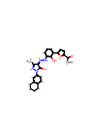 COC(=O)c1ccc(-c2cccc(NN=C3C(=O)N(c4ccc5c(c4)CCCC5)N=C3C)c2O)o1